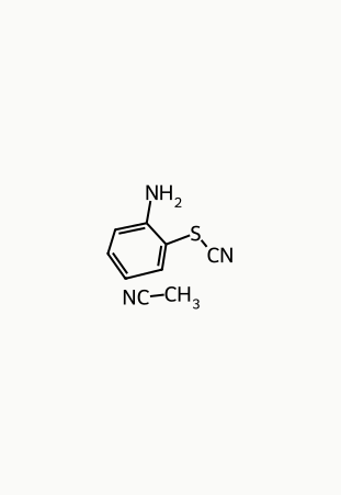 CC#N.N#CSc1ccccc1N